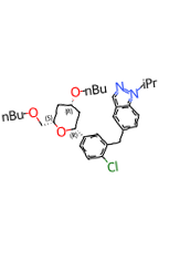 CCCCOC[C@@H]1C[C@H](OCCCC)C[C@H](c2ccc(Cl)c(Cc3ccc4c(cnn4C(C)C)c3)c2)O1